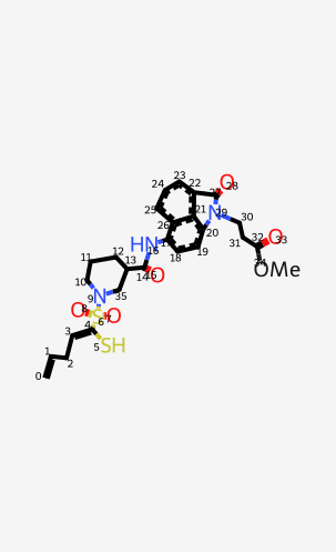 C=CC/C=C(\S)S(=O)(=O)N1CCCC(C(=O)Nc2ccc3c4c(cccc24)C(=O)N3CCC(=O)OC)C1